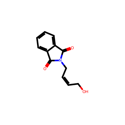 O=C1c2ccccc2C(=O)N1C/C=C\CO